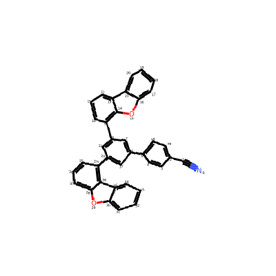 N#Cc1ccc(-c2cc(-c3cccc4c3oc3ccccc34)cc(-c3cccc4oc5ccccc5c34)c2)cc1